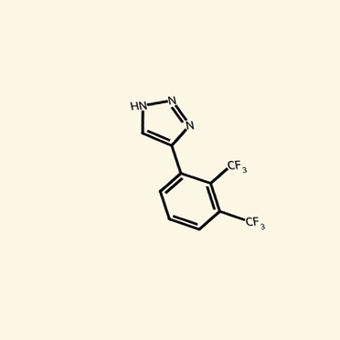 FC(F)(F)c1cccc(-c2c[nH]nn2)c1C(F)(F)F